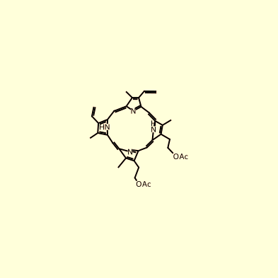 C=CC1=C(C)c2cc3[nH]c(cc4nc(cc5[nH]c(cc1n2)c(C)c5CCOC(C)=O)C(CCOC(C)=O)=C4C)c(C)c3C=C